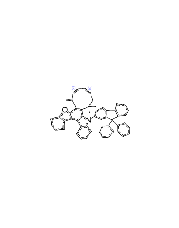 C=C1/C=C\C=C/CC(C)(C)c2c1c1oc3ccccc3c1c1c3ccccc3n(-c3ccc4c(c3)C(c3ccccc3)(c3ccccc3)c3ccccc3-4)c21